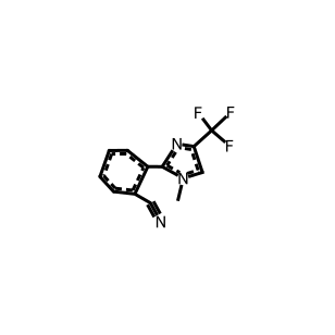 Cn1cc(C(F)(F)F)nc1-c1ccccc1C#N